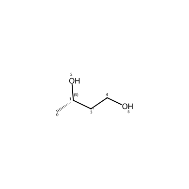 C[C@H](O)[CH]CO